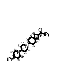 CC(C)C(=O)C1CC2(CCC(N3CCC(N4CCC(C(C)C)CC4)CC3)CC2)C1